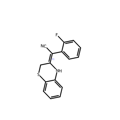 N#C/C(=C1\CSc2ccccc2N1)c1ccccc1F